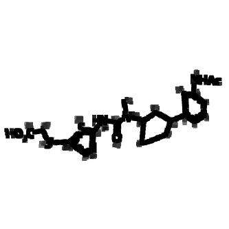 CC(=O)Nc1cccc(C2CCC(N(C)C(=O)Nc3ncc(SCC(=O)O)s3)C2)c1